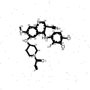 C=CC(=O)N1CCC(Oc2cc3c(Nc4ccc(Cl)c(Cl)c4F)c(C#N)cnc3cc2OC)CC1